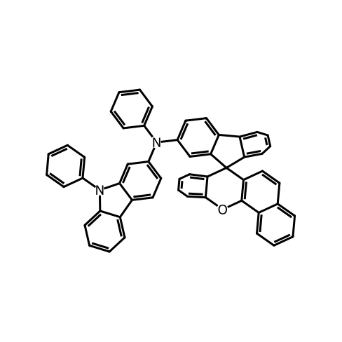 c1ccc(N(c2ccc3c(c2)C2(c4ccccc4Oc4c2ccc2ccccc42)c2ccccc2-3)c2ccc3c4ccccc4n(-c4ccccc4)c3c2)cc1